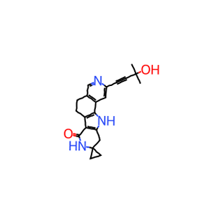 CC(C)(O)C#Cc1cc2c(cn1)CCc1c-2[nH]c2c1C(=O)NC1(CC1)C2